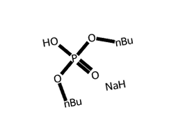 CCCCOP(=O)(O)OCCCC.[NaH]